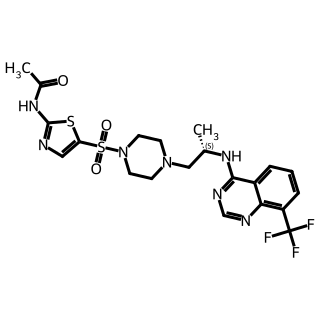 CC(=O)Nc1ncc(S(=O)(=O)N2CCN(C[C@H](C)Nc3ncnc4c(C(F)(F)F)cccc34)CC2)s1